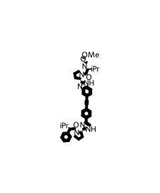 COO/C=N/[C@H](C(=O)N1CCC[C@H]1c1nc2cc(C#Cc3ccc(-c4c[nH]c([C@@H]5CCCN5C(=O)[C@@H](c5ccccc5)C(C)C)n4)cc3)ccc2[nH]1)C(C)C